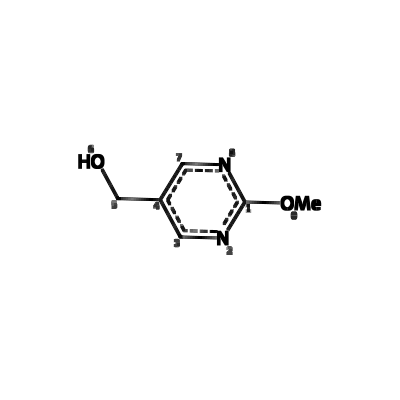 COc1ncc(CO)cn1